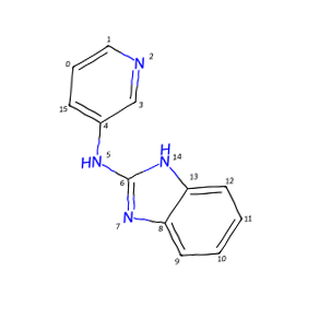 c1cncc(Nc2nc3ccccc3[nH]2)c1